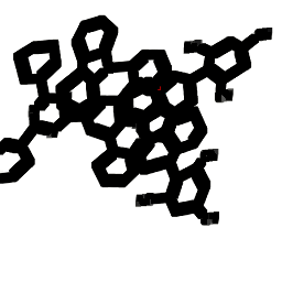 N#Cc1cc(C#N)c(-c2ccc3c(c2)c2cc(-c4c(C#N)cc(C#N)cc4C#N)ccc2n3-c2c(-c3ccccc3-n3c4ccccc4c4ccccc43)cc(-c3nc(-c4ccccc4)nc(-c4ccccc4)n3)cc2-c2ccccc2-n2c3ccccc3c3ccccc32)c(C#N)c1